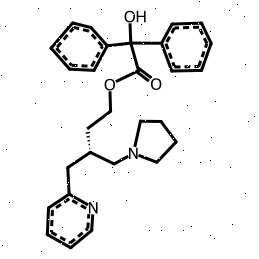 O=C(OCC[C@@H](Cc1ccccn1)CN1CCCC1)C(O)(c1ccccc1)c1ccccc1